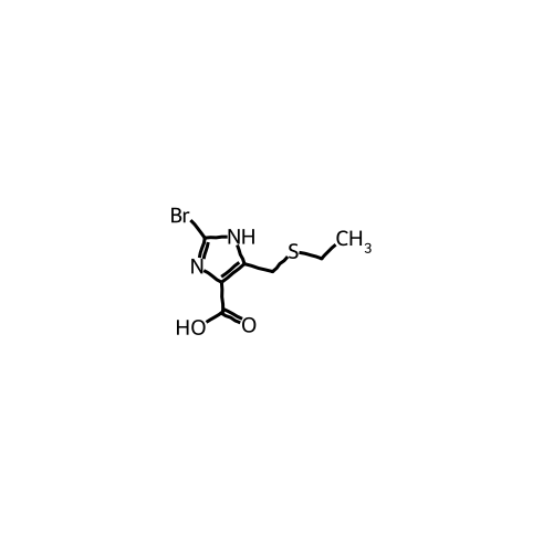 CCSCc1[nH]c(Br)nc1C(=O)O